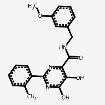 COc1cccc(CNC(=O)c2nc(-c3ccccc3C)nc(O)c2O)c1